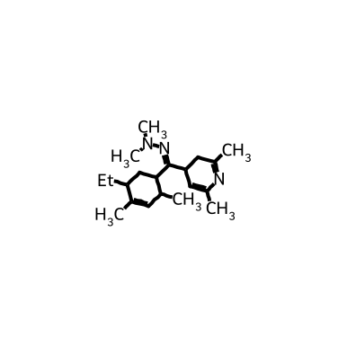 CCC1CC(/C(=N\N(C)C)C2C=C(C)N=C(C)C2)C(C)C=C1C